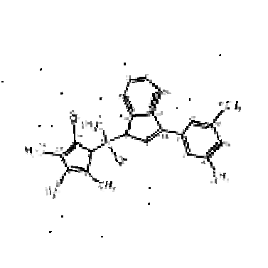 CC1=C(C)C([Si](C)(C)C2C=C(c3cc(C)cc(C)c3)c3ccccc32)C(C)=C1C